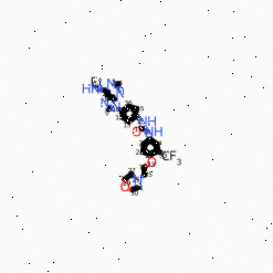 CCNc1ncnc2c1ncn2-c1ccc(NC(=O)Nc2ccc(OCCN3CCOCC3)c(C(F)(F)F)c2)cc1